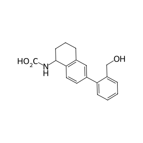 O=C(O)NC1CCCc2cc(-c3ccccc3CO)ccc21